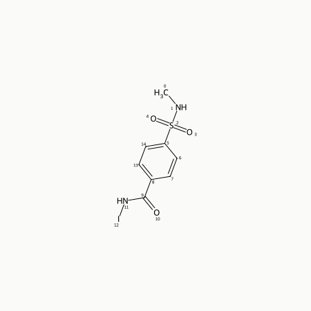 CNS(=O)(=O)c1ccc(C(=O)NI)cc1